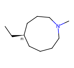 CC[C@@H]1CCCCN(C)CCC1